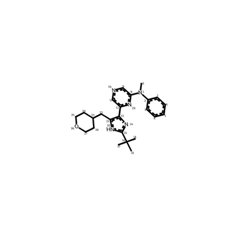 CN(c1ccccc1)c1cncc(-c2nc(C(C)(C)C)[nH]c2CC2CCOCC2)n1